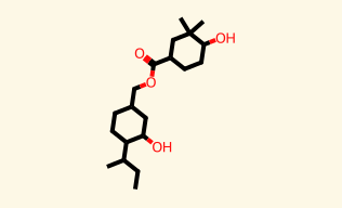 CCC(C)C1CCC(COC(=O)C2CCC(O)C(C)(C)C2)CC1O